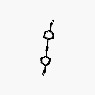 N#Cc1ccc(C#Cc2ccc(C#N)cc2)cc1